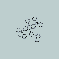 c1ccc(-c2c3ccc(N4c5ccccc5CCc5ccccc54)cc3c(-c3cccc(-c4cccc5ccccc45)c3)c3ccc(N4c5ccccc5CCc5ccccc54)cc23)cc1